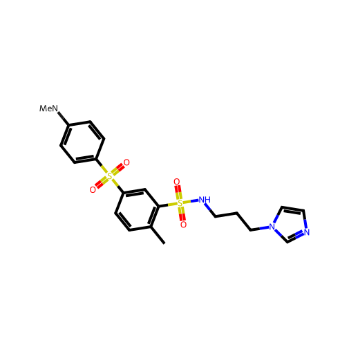 CNc1ccc(S(=O)(=O)c2ccc(C)c(S(=O)(=O)NCCCn3ccnc3)c2)cc1